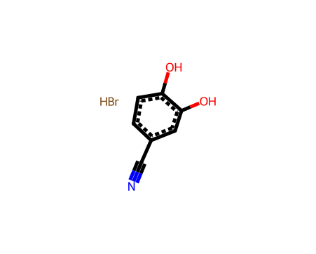 Br.N#Cc1ccc(O)c(O)c1